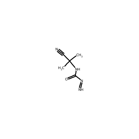 CC(C)(C#N)NC(=O)N=N